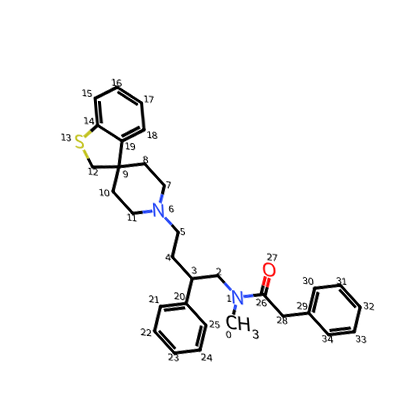 CN(CC(CCN1CCC2(CC1)CSc1ccccc12)c1ccccc1)C(=O)Cc1ccccc1